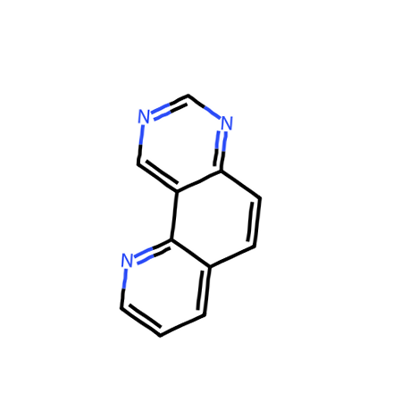 c1cnc2c(c1)ccc1ncncc12